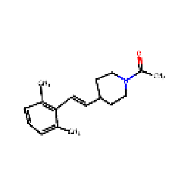 CC(=O)N1CCC(/C=C/c2c(C)cccc2C)CC1